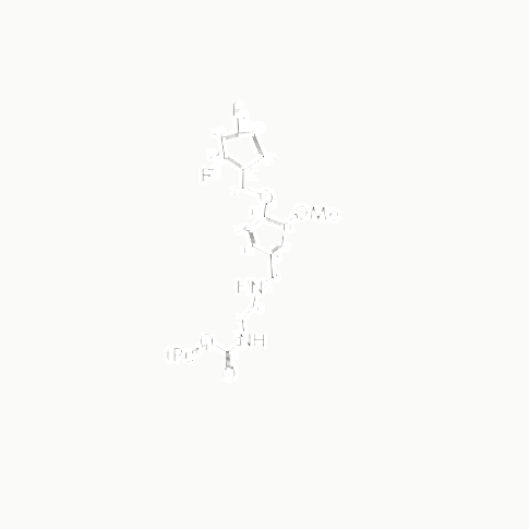 COc1cc(CNCCNC(=O)OC(C)(C)C)ccc1OCc1ccc(F)cc1F